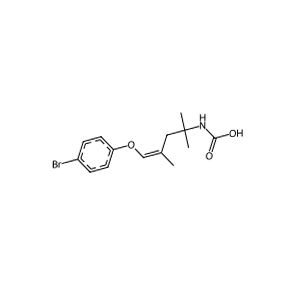 CC(=COc1ccc(Br)cc1)CC(C)(C)NC(=O)O